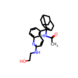 CC(=O)NC1(c2cccc3nc(NCCO)ccc23)C2CC3CC(C2)CC1C3